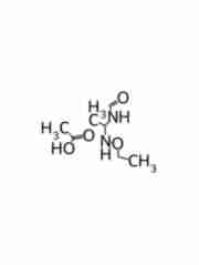 CC(=O)O.CCONC(C)NC=O